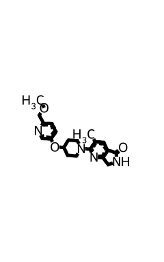 COCc1ccc(OC2CCN(c3nc4c(cc3C)C(=O)NC4)CC2)cn1